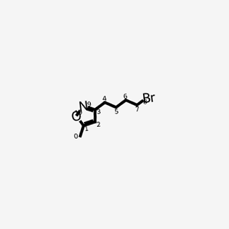 Cc1cc(CCCCBr)no1